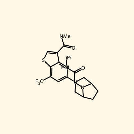 CNC(=O)c1csc2c(C(F)(F)F)cc(N3CC4CCC(C3)N4CC(=O)NC(C)C)nc12